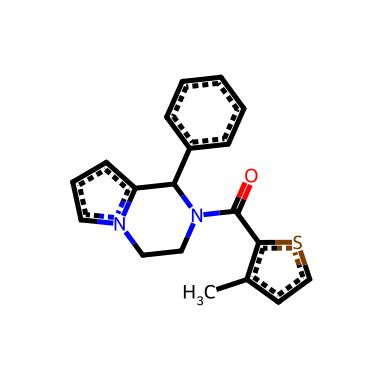 Cc1ccsc1C(=O)N1CCn2cccc2C1c1ccccc1